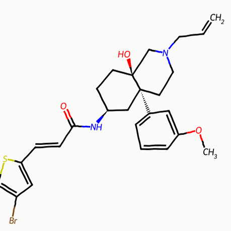 C=CCN1CC[C@@]2(c3cccc(OC)c3)C[C@@H](NC(=O)C=Cc3cc(Br)cs3)CC[C@]2(O)C1